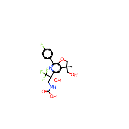 C[C@]1(CO)COc2c1cc([C@@](O)(CNC(=O)O)C(F)(F)F)nc2-c1ccc(F)cc1